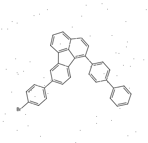 Brc1ccc(-c2ccc3c(c2)-c2cccc4ccc(-c5ccc(-c6ccccc6)cc5)c-3c24)cc1